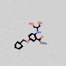 COC(=O)c1cc(OCc2ccccc2)ccc1NC(CO)CO